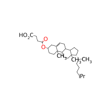 CC(C)CCCC(C)[C@H]1CCC2C3CC=C4CC(OC(=O)CCC(=O)O)CCC4(C)C3CCC21C